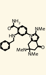 CNc1cc2c(n1-c1ccc(C(N)=O)c(NCc3ccccc3)c1)CC(NC)(NC)CC2=O